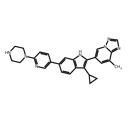 Cc1cc(-c2[nH]c3cc(-c4ccc(N5CCNCC5)nc4)ccc3c2C2CC2)cn2ncnc12